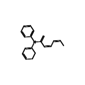 C=C(/C=C\C=C/C)N(C1=CC=CCC1)c1ccccc1